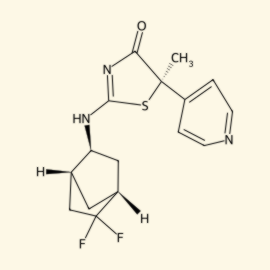 C[C@]1(c2ccncc2)SC(N[C@H]2C[C@H]3C[C@@H]2CC3(F)F)=NC1=O